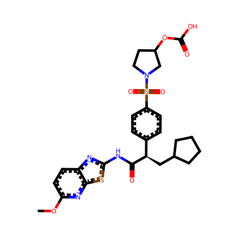 COc1ccc2nc(NC(=O)[C@H](CC3CCCC3)c3ccc(S(=O)(=O)N4CCC(OC(=O)O)C4)cc3)sc2n1